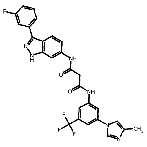 Cc1cn(-c2cc(NC(=O)CC(=O)Nc3ccc4c(-c5cccc(F)c5)n[nH]c4c3)cc(C(F)(F)F)c2)cn1